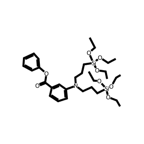 CCO[Si](CCCN(CCC[Si](OCC)(OCC)OCC)c1cccc(C(=O)Oc2ccccc2)c1)(OCC)OCC